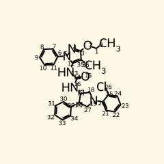 CCOc1nn(-c2ccccc2)c(NC(=O)N[C@@H]2CN(c3ccccc3Cl)C[C@H]2c2ccccc2)c1C